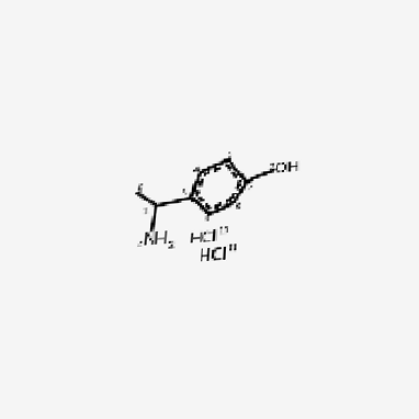 CC(N)c1ccc(O)cc1.Cl.Cl